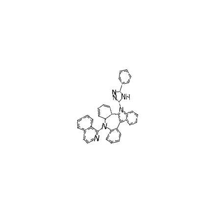 C1=CC2c3c(c4ccccc4n3C3N=NC(c4ccccc4)N3)-c3ccccc3N(c3nccc4ccccc34)C2C=C1